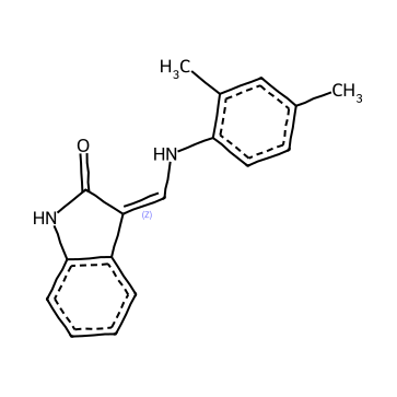 Cc1ccc(N/C=C2\C(=O)Nc3ccccc32)c(C)c1